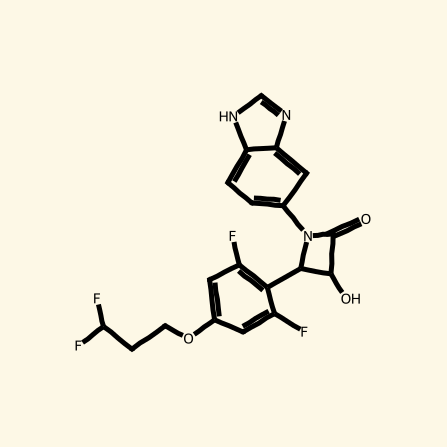 O=C1C(O)C(c2c(F)cc(OCCC(F)F)cc2F)N1c1ccc2[nH]cnc2c1